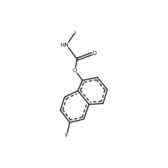 O=C(NI)Oc1cccc2cc(F)ccc12